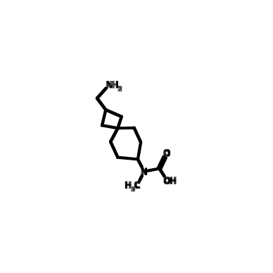 CN(C(=O)O)C1CCC2(CC1)CC(CN)C2